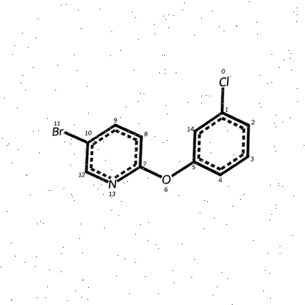 Clc1cccc(Oc2ccc(Br)cn2)c1